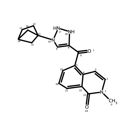 Cn1ccc2c(C(=O)C3=CN(C45CCC(C4)C5)NN3)cccc2c1=O